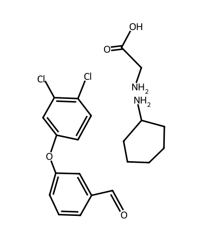 NC1CCCCC1.NCC(=O)O.O=Cc1cccc(Oc2ccc(Cl)c(Cl)c2)c1